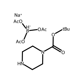 CC(=O)O[BH-](OC(C)=O)OC(C)=O.CC(C)(C)OC(=O)N1CCNCC1.[Na+]